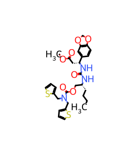 CCCC[C@H](COC(=O)N(Cc1cccs1)Cc1cccs1)NC(=O)N[C@H](CC(=O)OC)c1ccc2c(c1)OCO2